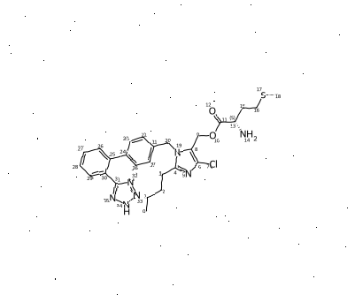 CCCCc1nc(Cl)c(COC(=O)[C@@H](N)CCSC)n1Cc1ccc(-c2ccccc2-c2nn[nH]n2)cc1